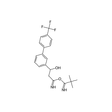 CC(C)(C)C(=N)OC(=N)CC(O)c1cccc(-c2ccc(C(F)(F)F)cc2)c1